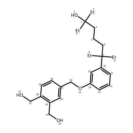 CCC(O)(CC)CCCC(CC)(CC)c1cccc(OCc2ccc(CO)c(CO)c2)c1